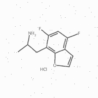 CC(N)Cc1c(F)cc(F)c2ccoc12.Cl